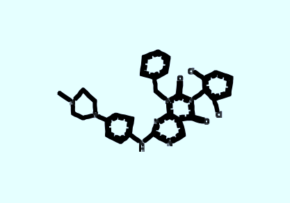 CN1CCN(c2ccc(Nc3ncc4c(=O)n(-c5c(Cl)cccc5Cl)c(=O)n(Cc5ccccc5)c4n3)cc2)CC1